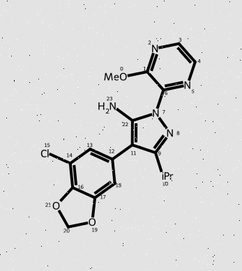 COc1nccnc1-n1nc(C(C)C)c(-c2cc(Cl)c3c(c2)OCO3)c1N